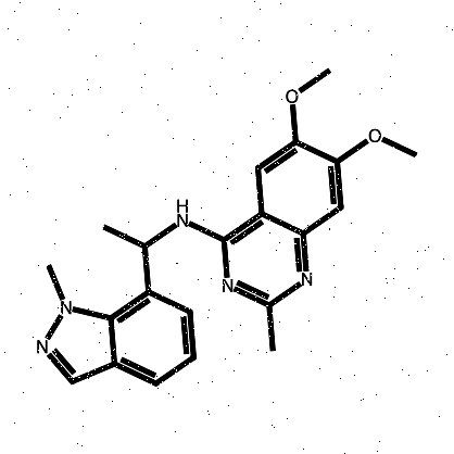 COc1cc2nc(C)nc(NC(C)c3cccc4cnn(C)c34)c2cc1OC